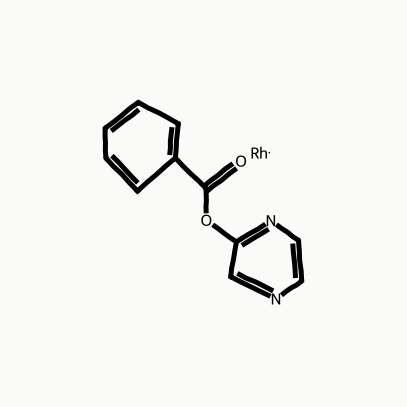 O=C(Oc1cnccn1)c1ccccc1.[Rh]